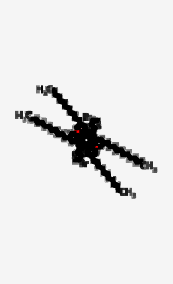 CCCCCCCCCCCCc1ccc(C2(c3ccc(CCCCCCCCCCCC)cc3)C3=Cc4c5c(sc4=C3C(c3ccc(CCCCCCCCCCCC)cc3)(c3ccc(CCCCCCCCCCCC)cc3)C3C=c4c(sc6c(Br)csc46)=C32)=C(Br)CS5)cc1